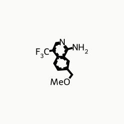 COCc1ccc2c(C(F)(F)F)cnc(N)c2c1